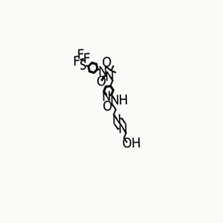 CC1(C)C(=O)N(c2ccc(SC(F)(F)F)cc2)C(=O)N1Cc1ccnc(NC(=O)CCN2CCN(CCO)CC2)c1